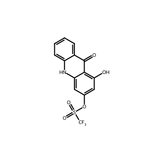 O=c1c2ccccc2[nH]c2cc(OS(=O)(=O)C(F)(F)F)cc(O)c12